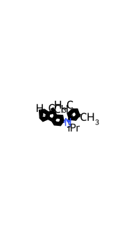 Cc1cc(C)cc(N(c2ccc3c(c2)C(C)(C)c2ccccc2-3)C(C)C)c1